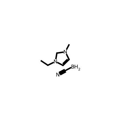 BC#N.CCN1C=CN(C)C1